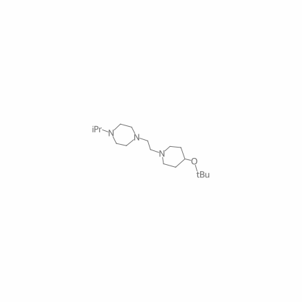 CC(C)N1CCN(CCN2CCC(OC(C)(C)C)CC2)CC1